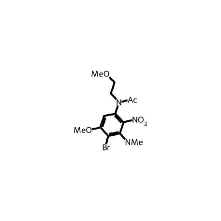 CNc1c(Br)c(OC)cc(N(CCOC)C(C)=O)c1[N+](=O)[O-]